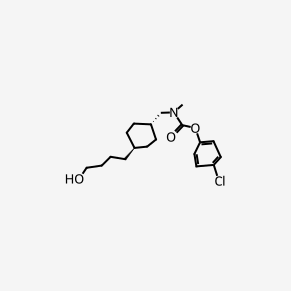 CN(C[C@H]1CC[C@H](CCCCO)CC1)C(=O)Oc1ccc(Cl)cc1